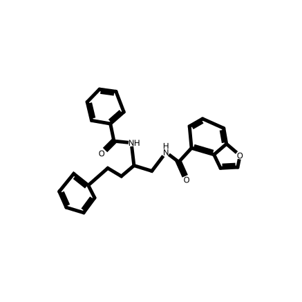 O=C(NC(CCc1ccccc1)CNC(=O)c1cccc2occc12)c1ccccc1